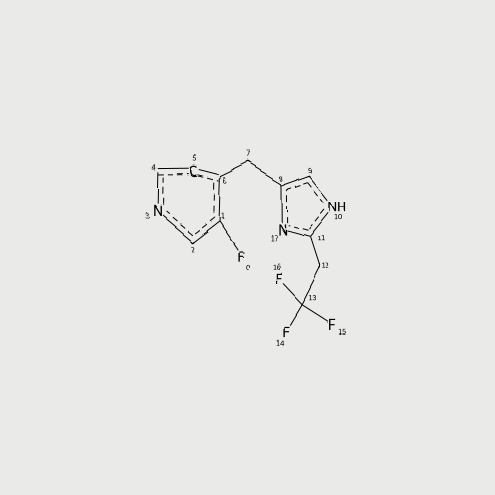 Fc1cnccc1Cc1c[nH]c(CC(F)(F)F)n1